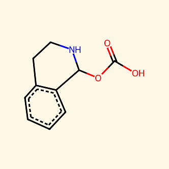 O=C(O)OC1NCCc2ccccc21